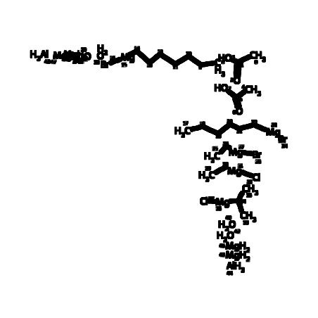 CC(=O)O.CC(=O)O.CCCCCC[CH2][Mg][Br].CCCCC[CH2][Mg][Br].C[CH2][Mg][Br].C[CH2][Mg][Cl].C[CH](C)[Mg][Cl].O.O.O.O.O.[AlH3].[AlH3].[MgH2].[MgH2].[MgH2].[MgH2]